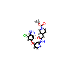 CC(C)(C)OC(=O)N1CCC(CC(=O)Nc2cc(Oc3ccc(N)c(Cl)c3)ccn2)CC1